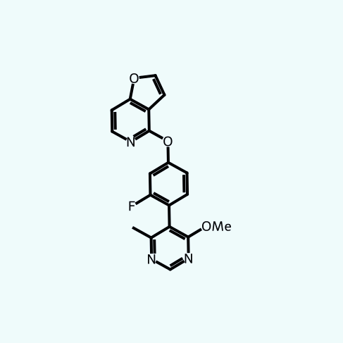 COc1ncnc(C)c1-c1ccc(Oc2nccc3occc23)cc1F